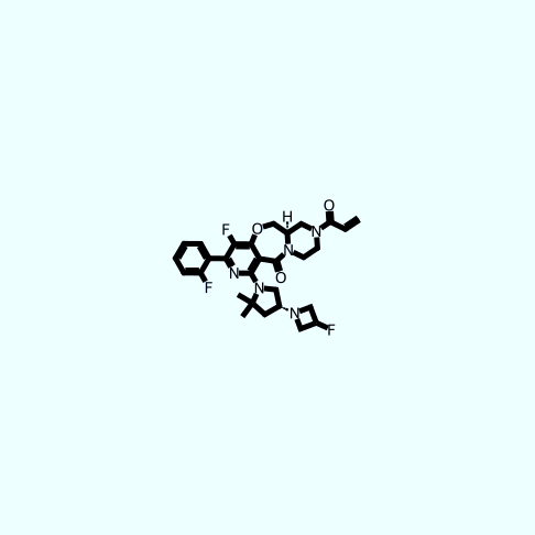 C=CC(=O)N1CCN2C(=O)c3c(N4C[C@H](N5CC(F)C5)CC4(C)C)nc(-c4ccccc4F)c(F)c3OC[C@H]2C1